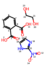 O=C(O)c1ccccc1C(=O)O.O=[N+]([O-])c1ncc[nH]1.OCCO